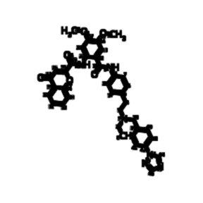 CCN(CCc1ccc(NC(=O)c2cc(OC)c(OC)cc2NC(=O)c2cc(=O)c3ccccc3o2)cc1)Cc1ccc(-n2cncn2)cc1